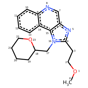 COCCc1nc2cnc3ccccc3c2n1CC1CCCCO1